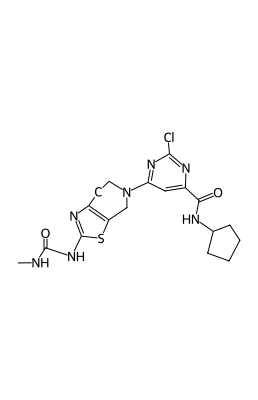 CNC(=O)Nc1nc2c(s1)CN(c1cc(C(=O)NC3CCCC3)nc(Cl)n1)CC2